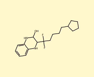 OC1Nc2ccccc2NC1C(F)(F)CCCCC1CCCC1